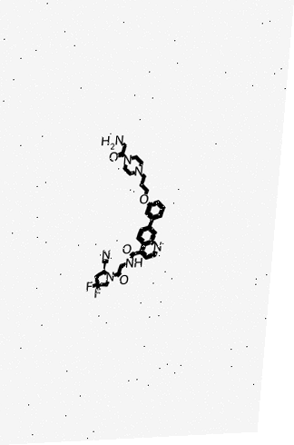 N#C[C@@H]1CC(F)(F)CN1C(=O)CNC(=O)c1ccnc2cc(-c3cccc(OCCCN4CCN(C(=O)CN)CC4)c3)ccc12